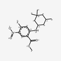 COC(=O)c1cc([N+](=O)[O-])c(F)cc1NC1CC(C)CC(C)(C)C1